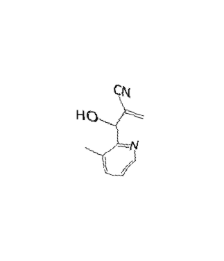 C=C(C#N)C(O)c1ncccc1C